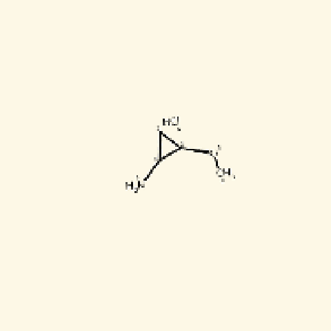 CO[C@@H]1CC1N.Cl